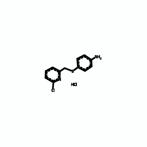 Cl.Nc1ccc(SCc2cccc(Cl)n2)cc1